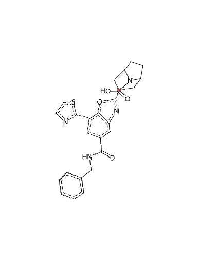 O=C(NCc1ccccc1)c1cc(-c2nccs2)c2oc(N3CC4CCC(C3)N4C(=O)O)nc2c1